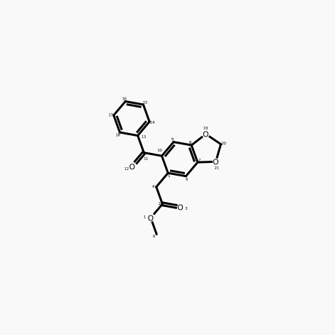 COC(=O)Cc1cc2c(cc1C(=O)c1ccccc1)OCO2